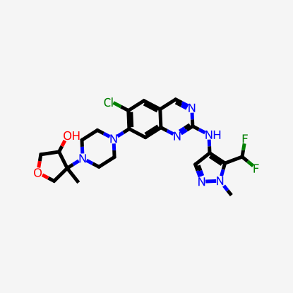 Cn1ncc(Nc2ncc3cc(Cl)c(N4CCN(C5(C)COCC5O)CC4)cc3n2)c1C(F)F